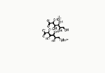 O.O=C([O-])C(O)C(O)C(O)C(O)CO.O=C([O-])C(O)C(O)C(O)C(O)CO.[Mn+2]